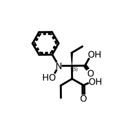 CCC(C(=O)O)[C@@](CC)(C(=O)O)N(O)c1ccccc1